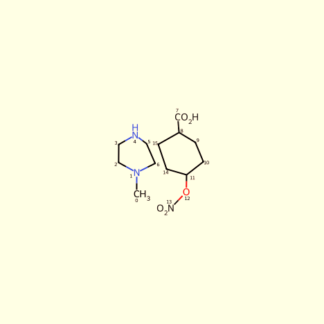 CN1CCNCC1.O=C(O)C1CCC(O[N+](=O)[O-])CC1